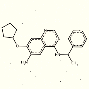 CC(Nc1ncnc2cc(OC3CCCC3)c(N)cc12)c1ccccc1